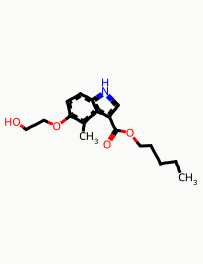 CCCCCOC(=O)c1c[nH]c2ccc(OCCO)c(C)c12